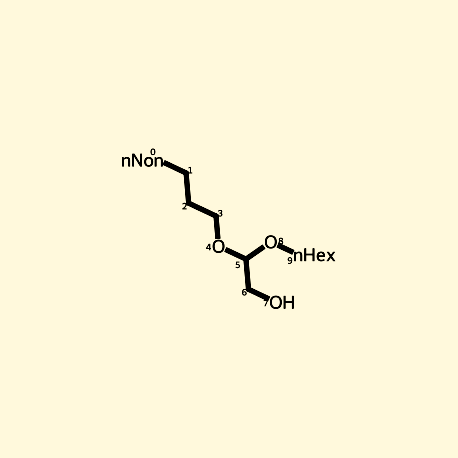 CCCCCCCCCCCCOC(CO)OCCCCCC